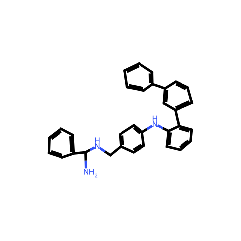 NC(NCc1ccc(Nc2ccccc2-c2cccc(-c3ccccc3)c2)cc1)c1ccccc1